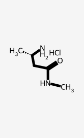 CNC(=O)C[C@H](C)N.Cl